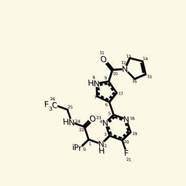 CC(C)C(Nc1nc(-c2c[nH]c(C(=O)N3CC=CC3)c2)ncc1F)C(=O)NCC(F)(F)F